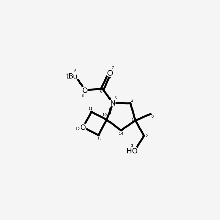 CC1(CO)CN(C(=O)OC(C)(C)C)C2(COC2)C1